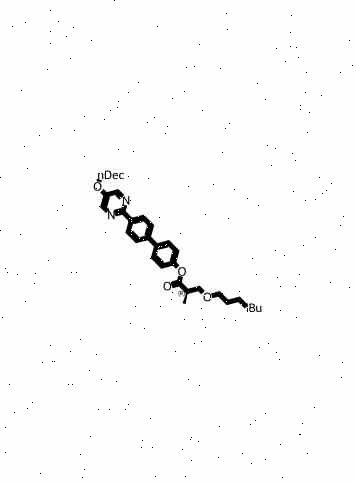 CCCCCCCCCCOc1cnc(-c2ccc(-c3ccc(OC(=O)[C@H](C)COCCCC(C)CC)cc3)cc2)nc1